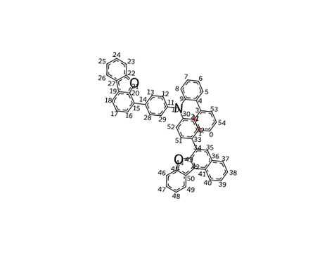 c1ccc(-c2ccccc2N(c2ccc(-c3cccc4c3oc3ccccc34)cc2)c2ccc(-c3cc4ccccc4c4c3oc3ccccc34)cc2)cc1